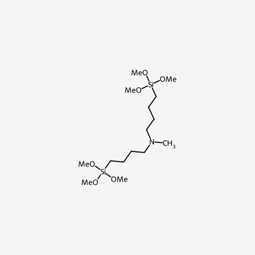 CO[Si](CCCCN(C)CCCC[Si](OC)(OC)OC)(OC)OC